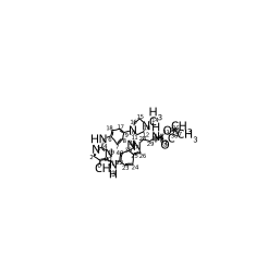 Cc1cnc(Nc2ccc(N3CCN(C)CC3)cc2)nc1Nc1ccc2cn(CCNC(=O)OC(C)(C)C)nc2c1